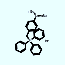 CCCCN(CCCC)c1ccc(C[P+](c2ccccc2)(c2ccccc2)c2ccccc2)cc1.[Br-]